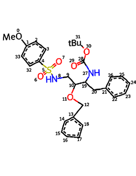 COc1ccc(S(=O)(=O)NCC(OCc2ccccc2)C(Cc2ccccc2)NC(=O)OC(C)(C)C)cc1